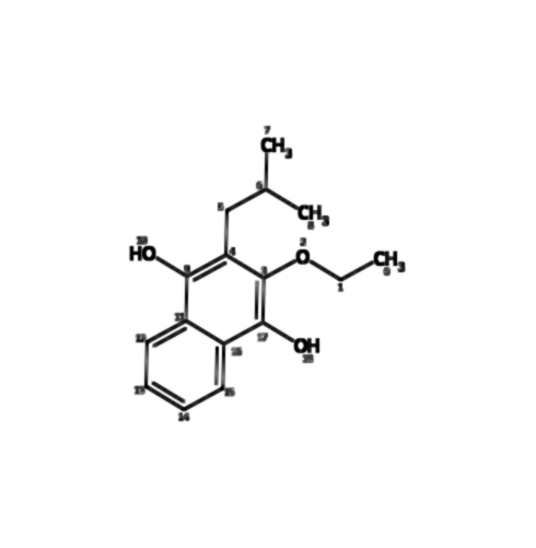 CCOc1c(CC(C)C)c(O)c2ccccc2c1O